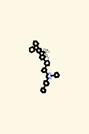 CC1(C)c2cc(C3=CC(c4cccc(-c5cc(-c6ccc(-c7ccccc7)cc6)nc(-c6ccccc6)n5)c4)=CCC3)ccc2-c2cc3c(cc21)-c1ccccc1C31CCCCC1